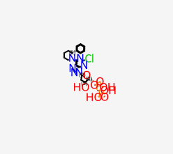 O=P(O)(O)CP(=O)(O)OC[C@H]1O[C@@H](n2nnc3c(N4CCCC[C@@H]4c4ccccc4)nc(Cl)nc32)C[C@@H]1O